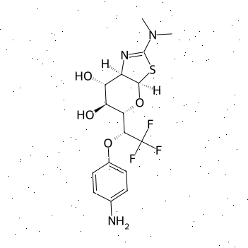 CN(C)C1=N[C@@H]2[C@@H](O)[C@H](O)[C@@H]([C@@H](Oc3ccc(N)cc3)C(F)(F)F)O[C@@H]2S1